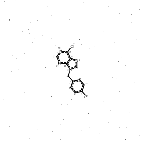 Fc1ccc(Cn2cnc3c(Cl)ncnc32)cc1